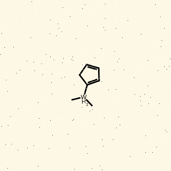 [CH3][WH2]([CH3])[C]1=CC=CC1